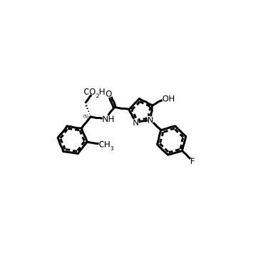 Cc1ccccc1[C@H](CC(=O)O)NC(=O)c1cc(O)n(-c2ccc(F)cc2)n1